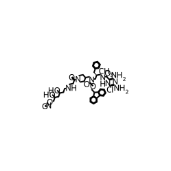 Cc1ccccc1C[C@@H](CNC(=O)c1nc(Cl)c(N)nc1N)CN(CC1CCN(C(=O)CCNCCC(O)CC(O)CON=O)CC1)C(=O)OCC1c2ccccc2-c2ccccc21